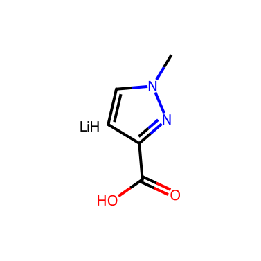 Cn1ccc(C(=O)O)n1.[LiH]